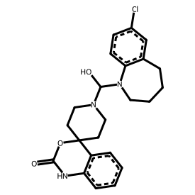 O=C1Nc2ccccc2C2(CCN(C(O)N3CCCCc4cc(Cl)ccc43)CC2)O1